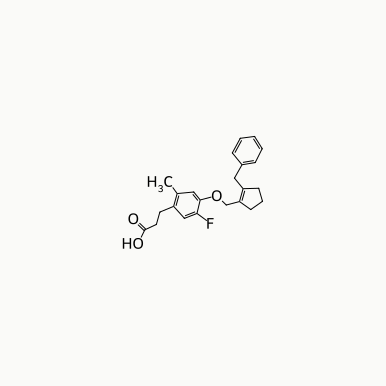 Cc1cc(OCC2=C(Cc3ccccc3)CCC2)c(F)cc1CCC(=O)O